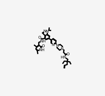 C=CCC(CC)(CC)CNC(=O)CCN1CCN(c2ccc(-c3cc(C(=O)NCc4c(C)cc(C)[nH]c4=O)c4cnn(C(C)C)c4c3)cn2)CC1